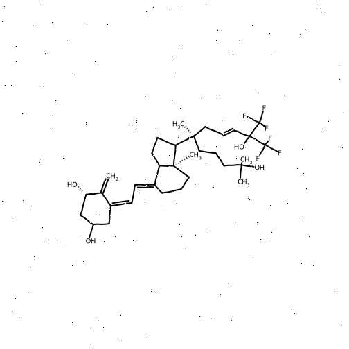 C=C1/C(=C\C=C2/CCC[C@@]3(C)C2CCC3[C@@](C)(C/C=C/C(O)(C(F)(F)F)C(F)(F)F)CCCC(C)(C)O)CC(O)C[C@@H]1O